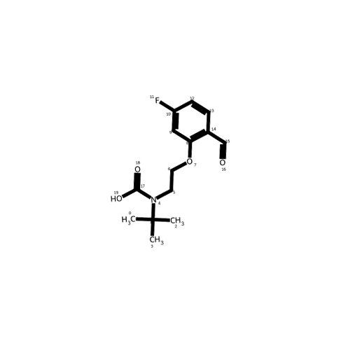 CC(C)(C)N(CCOc1cc(F)ccc1C=O)C(=O)O